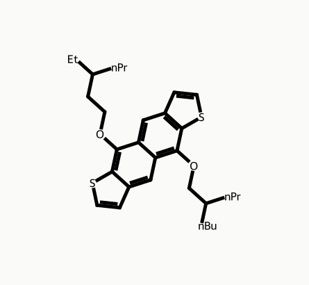 CCCCC(CCC)COc1c2cc3ccsc3c(OCCC(CC)CCC)c2cc2ccsc12